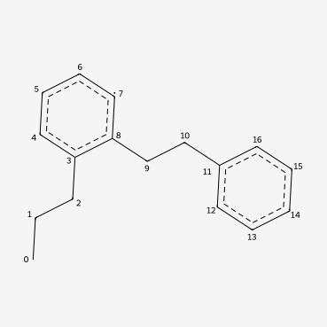 CCCc1ccc[c]c1CCc1ccccc1